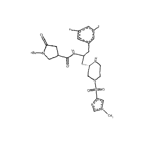 CCCCN1CC(C(=O)NC(Cc2cc(F)cc(F)c2)C[C@H]2CN(S(=O)(=O)c3cn(C)cn3)CCN2)CC1=O